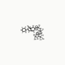 Cn1c(-c2ccccc2)cc2ccc(OC(C)(C)CC(C)(C)OC(=O)C(CC(C)(C)C)C(C)(C)C)cc21